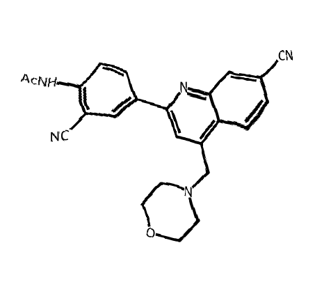 CC(=O)Nc1ccc(-c2cc(CN3CCOCC3)c3ccc(C#N)cc3n2)cc1C#N